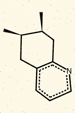 C[C@@H]1Cc2cccnc2C[C@@H]1C